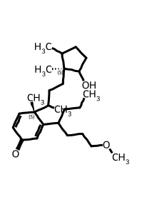 CCCC(CCCOC)C1=CC(=O)C=C[C@]1(C)C(C)CC[C@@]1(C)C(C)CCC1O